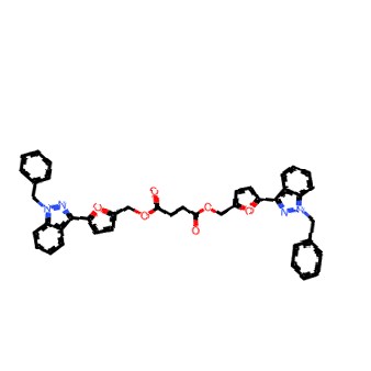 O=C(CCC(=O)OCc1ccc(-c2nn(Cc3ccccc3)c3ccccc23)o1)OCc1ccc(-c2nn(Cc3ccccc3)c3ccccc23)o1